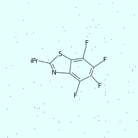 CC(C)c1nc2c(F)c(F)c(F)c(F)c2s1